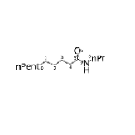 CCCCCCCCCC(=O)NCCC